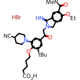 Br.CCOc1cc2c(cc1C(=O)NC)C(=N)N(CC(=O)c1cc(N3CCC(C#N)CC3)c(OCCCCC(=O)O)c(C(C)(C)C)c1)C2